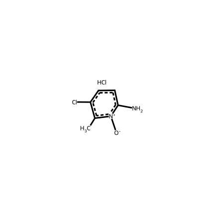 Cc1c(Cl)ccc(N)[n+]1[O-].Cl